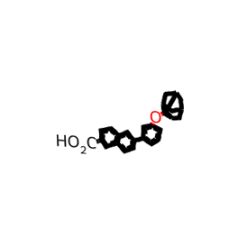 O=C(O)c1ccc2cc(-c3cccc(OC4C5CC6CC(C5)CC4C6)c3)ccc2c1